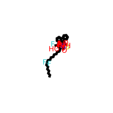 CCCCCCCC(F)(F)CCCCCC/C=C/[C@H](C(=O)N1C(=S)OC(c2ccccc2)(c2ccccc2)[C@@H]1C(C)C)[C@@](O)(CCF)C(=O)O